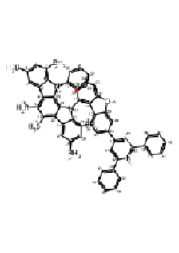 Bc1cc(B)c2c(c1)c1c(B)c(B)c3c4cc(B)cc(B)c4n(-c4cccc5oc6cc(-c7cc(-c8ccccc8)nc(-c8ccccc8)n7)ccc6c45)c3c1n2-c1ccccc1